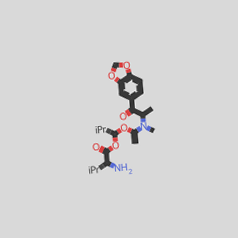 C=C(OC(OC(=O)C(N)C(C)C)C(C)C)N(C)C(C)C(=O)c1ccc2c(c1)OCO2